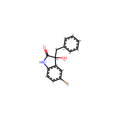 O=C1Nc2ccc(Br)cc2C1(O)Cc1ccccc1